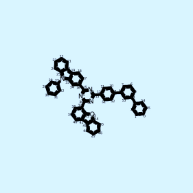 c1ccc(-c2cccc(-c3ccc(-c4nc(-c5ccc6c7ccccc7n(-c7ccccc7)c6c5)nc(-c5cccc6c5oc5ccccc56)n4)cc3)c2)cc1